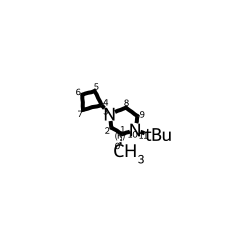 C[C@@H]1CN(C2CCC2)CCN1C(C)(C)C